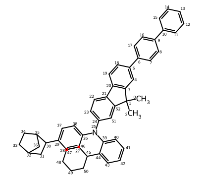 CC1(C)c2cc(-c3ccc(-c4ccccc4)cc3)ccc2-c2ccc(N(c3ccc(C4CC5CCC4C5)cc3)c3ccccc3C3CCCCC3)cc21